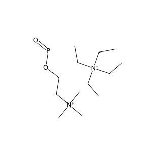 CC[N+](CC)(CC)CC.C[N+](C)(C)CCOP=O